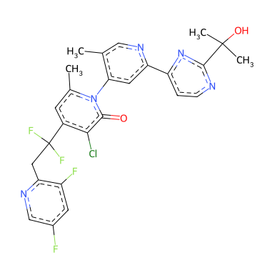 Cc1cnc(-c2ccnc(C(C)(C)O)n2)cc1-n1c(C)cc(C(F)(F)Cc2ncc(F)cc2F)c(Cl)c1=O